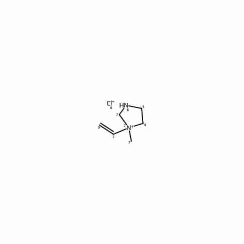 C=C[N+]1(C)CCNC1.[Cl-]